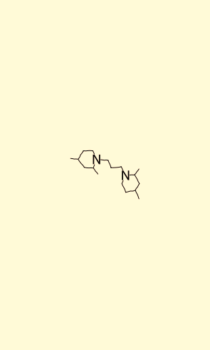 CC1CCN(CCCN2CCC(C)CC2C)C(C)C1